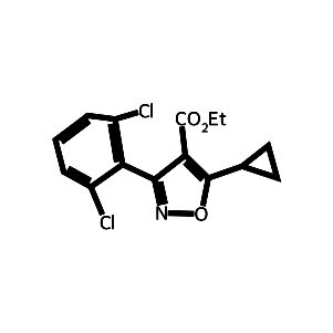 CCOC(=O)c1c(-c2c(Cl)cccc2Cl)noc1C1CC1